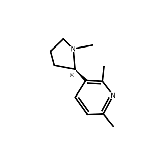 Cc1ccc([C@H]2CCCN2C)c(C)n1